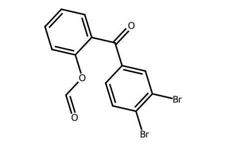 O=COc1ccccc1C(=O)c1ccc(Br)c(Br)c1